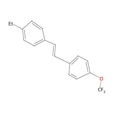 CCc1ccc(C=Cc2ccc(OC(F)(F)F)cc2)cc1